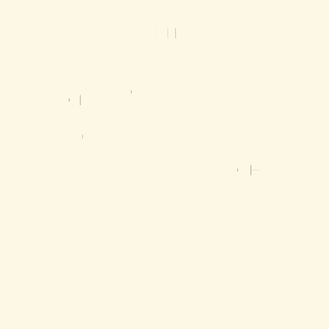 CCOc1cc(C(O)c2ccccc2)ccc1OC